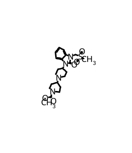 COC(=O)N1CCC(N2CCC(n3c(=O)n(CS(C)(=O)=O)c4ccccc43)CC2)CC1